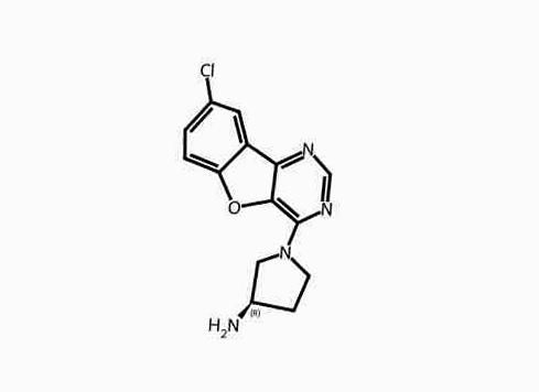 N[C@@H]1CCN(c2ncnc3c2oc2ccc(Cl)cc23)C1